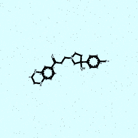 O=C(CCN1CCC(O)(c2ccc(F)cc2)C1)c1ccc2c(c1)OCCO2